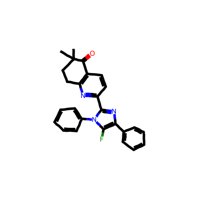 CC1(C)CCc2nc(-c3nc(-c4ccccc4)c(F)n3-c3ccccc3)ccc2C1=O